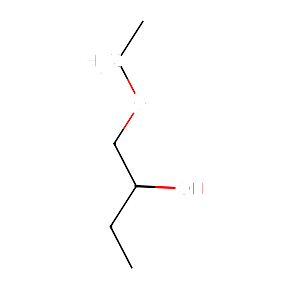 CCC(O)CO[SiH2]C